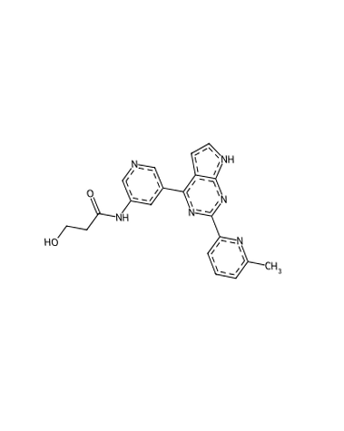 Cc1cccc(-c2nc(-c3cncc(NC(=O)CCO)c3)c3cc[nH]c3n2)n1